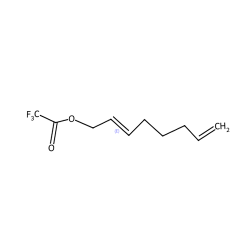 C=CCCC/C=C/COC(=O)C(F)(F)F